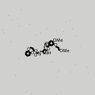 COCCCOc1cc(C(=O)N(C[C@@H]2CNC[C@H]2CN(C)C(=O)OC2CCOc3ccccc3O2)C(C)C)ccc1OC